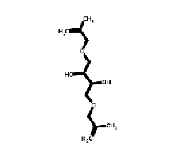 C=C(C)COCC(O)C(O)COCC(=C)C